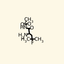 CC(C)(F)CC(N)C(=O)NS(C)(=O)=O